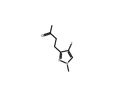 CC(=O)CCc1nn(C)cc1I